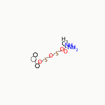 CCC(N)(CN)C(=O)OCCSCCOCCSCCOc1ccccc1C1=Cc2ccccc2CCC1